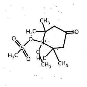 CO[N+]1(OS(C)(=O)=O)C(C)(C)CC(=O)CC1(C)C